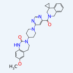 COc1ccc2c(c1)CCN(C1CCN(c3cc(C(=O)N4Cc5ccccc5C5(CC5)C4)ncn3)CC1)C(=O)N2